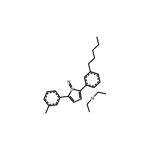 CCCCCc1cccc(C2=CC=C(c3cccc(C)c3)[N+]2=[N-])c1.C[CH2][Ni][CH2]C